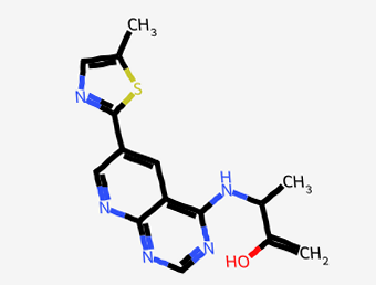 C=C(O)C(C)Nc1ncnc2ncc(-c3ncc(C)s3)cc12